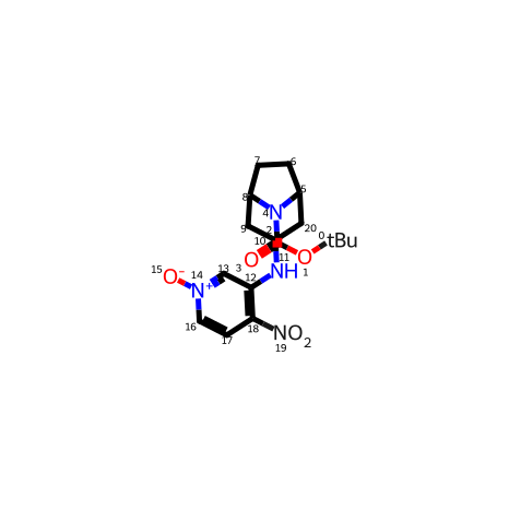 CC(C)(C)OC(=O)N1C2CCC1CC(Nc1c[n+]([O-])ccc1[N+](=O)[O-])C2